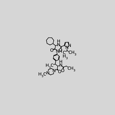 CCC(=O)NC(C(=O)N1CCN(C)CC1)C(C)c1ccc(NC(=O)C(NC(=O)c2ccnn2C(C)C)C2CCCCCC2)cc1